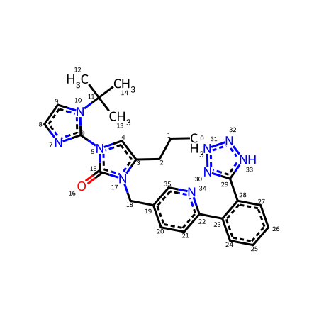 CCCc1cn(-c2nccn2C(C)(C)C)c(=O)n1Cc1ccc(-c2ccccc2-c2nnn[nH]2)nc1